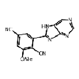 COc1cc(C#N)cc(-c2nc3ncncc3[nH]2)c1C#N